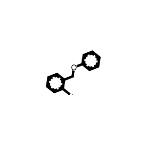 [CH2]c1ccccc1COc1ccccc1